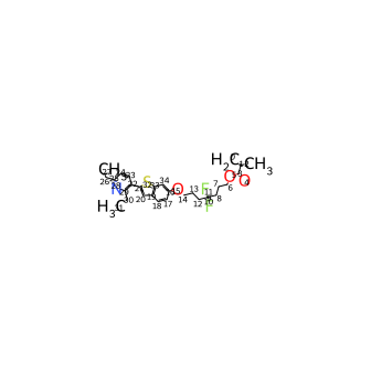 C=C(C)C(=O)OCCCC(F)(F)CCCOc1ccc2cc(-c3ccc(CC)nc3CC)sc2c1